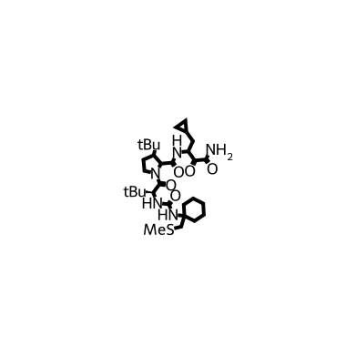 CSCC1(NC(=O)N[C@H](C(=O)N2CCC(C(C)(C)C)C2C(=O)NC(CC2CC2)C(=O)C(N)=O)C(C)(C)C)CCCCC1